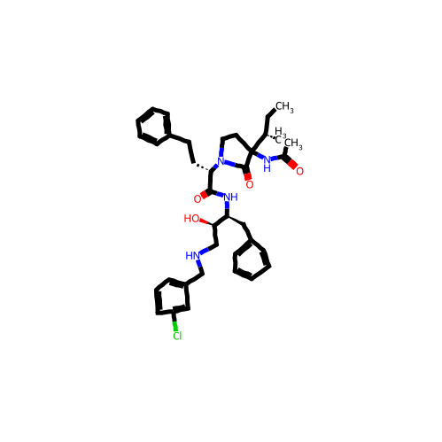 CC[C@H](C)C1(NC(C)=O)CCN([C@@H](CCc2ccccc2)C(=O)N[C@@H](Cc2ccccc2)[C@H](O)CNCc2cccc(Cl)c2)C1=O